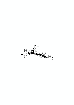 C=CC(=O)OCCOC[Si](C)(OCC)OCC